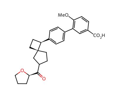 COc1ccc(C(=O)O)cc1-c1ccc([C@@H]2CC[C@]23CCC(C(=O)[C@H]2CCCO2)C3)cc1